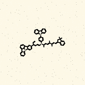 C=C/C(=C\C=C\N(/C(C)=C/C=C(C)/C(C)=C/C=C1\CC(C)(C)c2ccccc21)c1ccc(-n2c3ccccc3c3ccccc32)cc1)c1ccc2c(c1)c1cccc3c4ccccc4n2c31